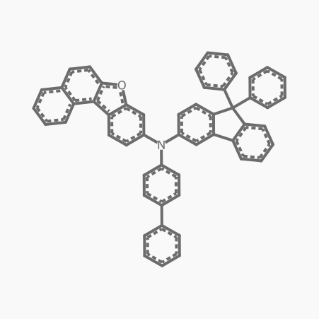 c1ccc(-c2ccc(N(c3ccc4c(c3)-c3ccccc3C4(c3ccccc3)c3ccccc3)c3ccc4c(c3)oc3ccc5ccccc5c34)cc2)cc1